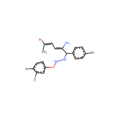 CCc1ccc(C(NNOc2ccc(CC)c(Cl)c2)/C(N)=C/C=C(\C)Br)cc1